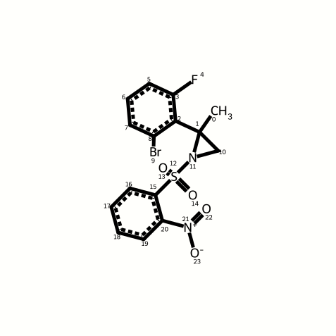 CC1(c2c(F)cccc2Br)CN1S(=O)(=O)c1ccccc1[N+](=O)[O-]